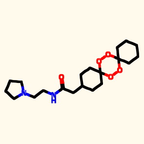 O=C(CC1CCC2(CC1)OOC1(CCCCC1)OO2)NCCN1CCCC1